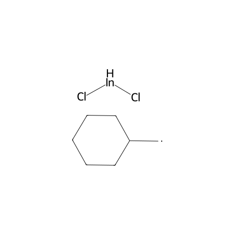 [CH2]C1CCCCC1.[Cl][InH][Cl]